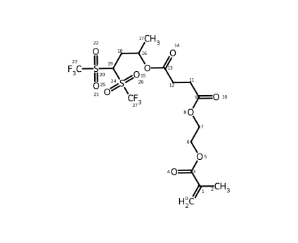 C=C(C)C(=O)OCCOC(=O)CCC(=O)OC(C)CC(S(=O)(=O)C(F)(F)F)S(=O)(=O)C(F)(F)F